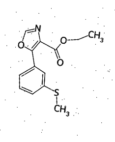 CCOC(=O)c1ncoc1-c1cccc(SC)c1